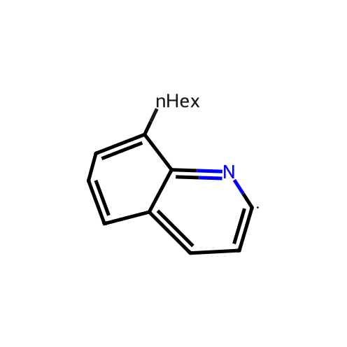 CCCCCCc1cccc2cc[c]nc12